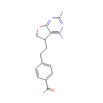 COC(=O)c1ccc(CCC2COc3nc(N)nc(N)c32)cc1